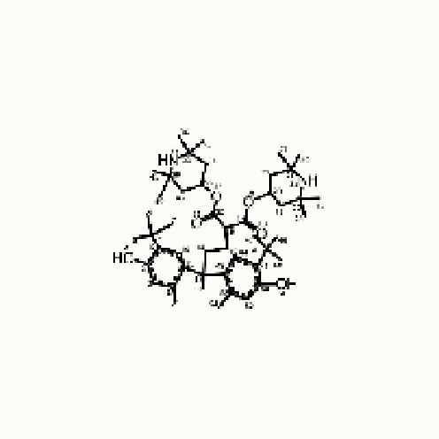 Cc1cc(O)c(C(C)(C)C)cc1C(C)(CCC(C(=O)OC1CC(C)(C)NC(C)(C)C1)C(=O)OC1CC(C)(C)NC(C)(C)C1)c1cc(C(C)(C)C)c(O)cc1C